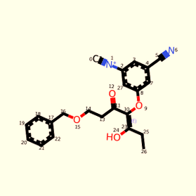 [C-]#[N+]c1cc(C#N)cc(O/C(C(=O)CCOCc2ccccc2)=C(/O)CC)c1